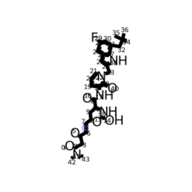 COC(CC(=O)/C=C/CCC(NC(=O)O)C(=O)Nc1cccn(Cc2cc3cc(F)cc(CC(C)(C)C)c3[nH]2)c1=O)N(C)C